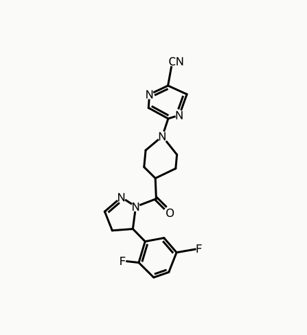 N#Cc1cnc(N2CCC(C(=O)N3N=CCC3c3cc(F)ccc3F)CC2)cn1